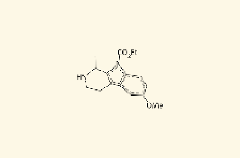 CCOC(=O)n1c2c(c3cc(OC)ccc31)CCNC2C